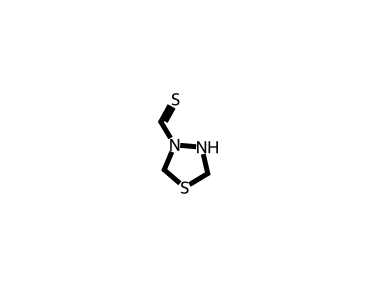 S=CN1CSCN1